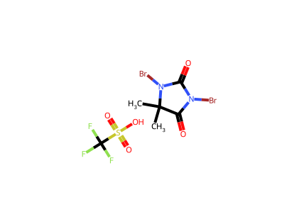 CC1(C)C(=O)N(Br)C(=O)N1Br.O=S(=O)(O)C(F)(F)F